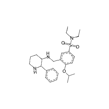 CCN(CC)S(=O)(=O)c1ccc(OC(C)C)c(CNC2CCCNC2c2ccccc2)c1